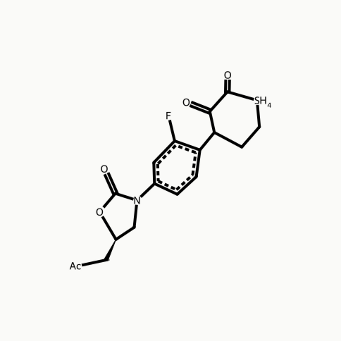 CC(=O)[CH][C@@H]1CN(c2ccc(C3CC[SH4]C(=O)C3=O)c(F)c2)C(=O)O1